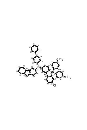 Cc1ccc([Si]2(c3ccc(C)cc3)c3ccc(N(c4ccc(-c5ccccc5)cc4)c4ccc5sc6ccccc6c5c4)cc3-c3ccc(Cl)cc32)cc1